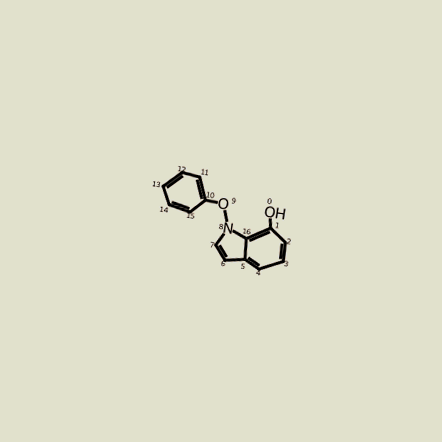 Oc1cccc2ccn(Oc3ccccc3)c12